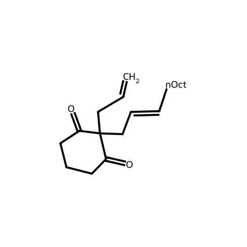 C=CCC1(CC=CCCCCCCCC)C(=O)CCCC1=O